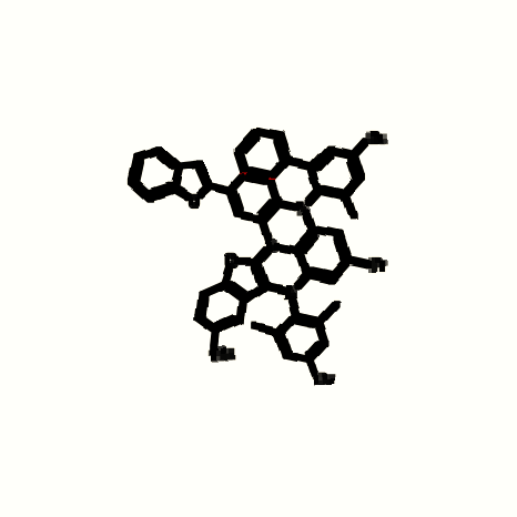 Cc1cc(C(C)(C)C)cc(C)c1N1c2cc(C(C)C)cc3c2B(c2cc(-c4cc5ccccc5o4)ccc2N3c2c(C)cc(C(C)(C)C)cc2-c2ccccc2)c2oc3ccc(C(C)(C)C)cc3c21